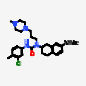 CC(=O)Nc1ccc2c(c1)CC(N(CCCN1CCN(C)CC1)C(=O)Nc1ccc(C)c(Cl)c1)CC2